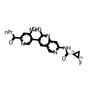 CCCC(=O)c1cc(C)c(-c2cc3cnc(NC(=O)[C@@H]4C[C@@H]4F)cc3nc2OC)cn1